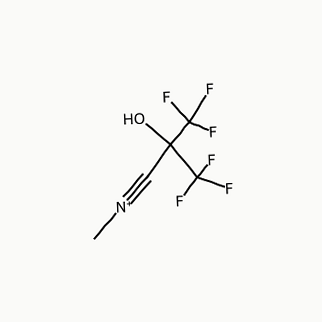 C[N+]#CC(O)(C(F)(F)F)C(F)(F)F